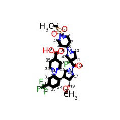 CCS(=O)(=O)N1CCC(N2CC[C@](F)(C(=O)N3C[C@H](COC)[C@@H](c4ccc(C(F)(F)F)cc4N4CCC(C(=O)O)CC4)C3)C2)CC1